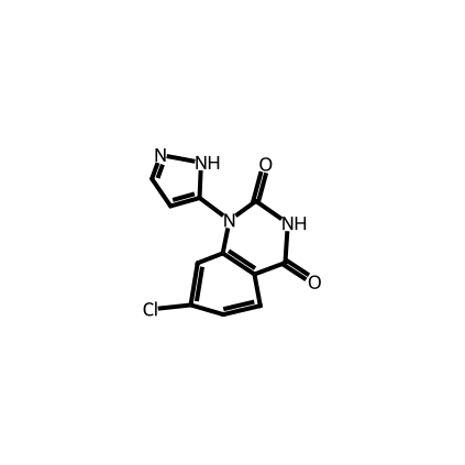 O=c1[nH]c(=O)n(-c2ccn[nH]2)c2cc(Cl)ccc12